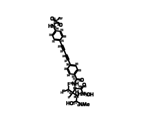 CNC(O)NC(C)(C(F)F)[C@H](NC(=O)c1ccc(C#CC#Cc2ccc(NS(C)(=O)=O)cc2)cc1)C(=O)NO